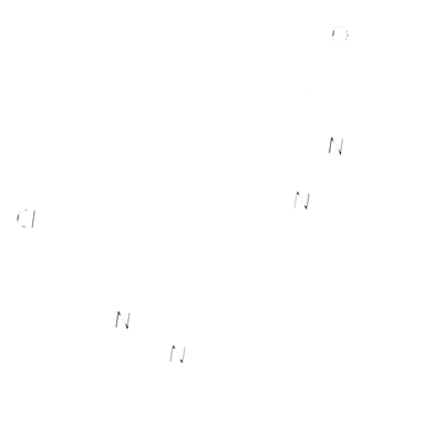 CC(C)n1nc(-c2c(CCl)nn3ccccc23)ccc1=O